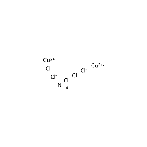 [Cl-].[Cl-].[Cl-].[Cl-].[Cl-].[Cu+2].[Cu+2].[NH4+]